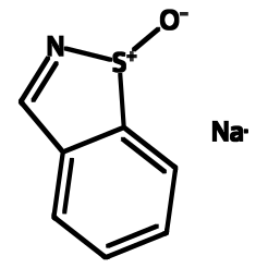 [Na].[O-][s+]1ncc2ccccc21